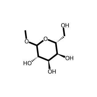 COC1O[C@H](CO)[C@@H](O)[C@@H](O)[C@@H]1O